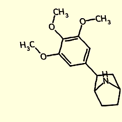 COc1cc(C2CC3CCC2N3)cc(OC)c1OC